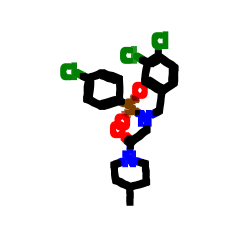 CC1CCN(C(=O)CN(Cc2ccc(Cl)c(Cl)c2)S(=O)(=O)c2ccc(Cl)cc2)CC1